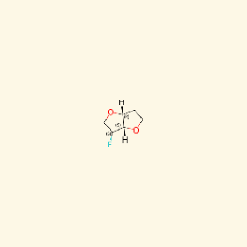 F[C@H]1CO[C@@H]2CCO[C@H]12